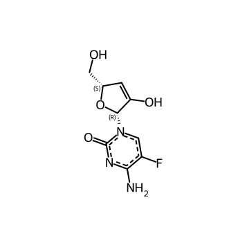 Nc1nc(=O)n([C@@H]2O[C@H](CO)C=C2O)cc1F